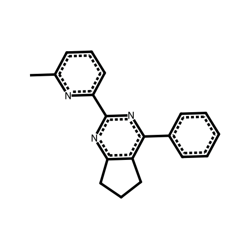 Cc1cccc(-c2nc3c(c(-c4ccccc4)n2)CCC3)n1